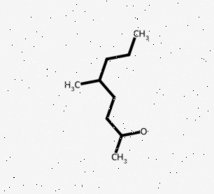 CCCC(C)CCC(C)[O]